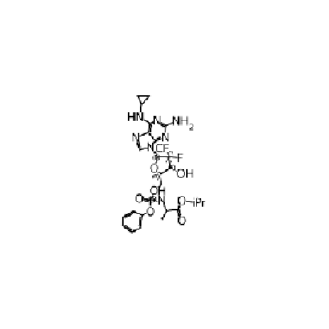 CC(C)OC(=O)C(C)N[P@@](=O)(OC[C@H]1O[C@@H](n2cnc3c(NC4CC4)nc(N)nc32)[C@@](F)(C(F)(F)F)[C@@H]1O)Oc1ccccc1